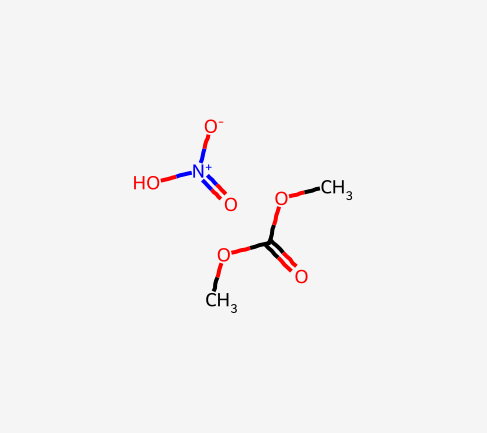 COC(=O)OC.O=[N+]([O-])O